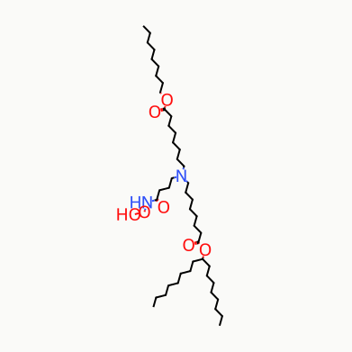 CCCCCCCCCOC(=O)CCCCCCCN(CCCCCCCC(=O)OC(CCCCCCCC)CCCCCCCC)CCCC(=O)NOO